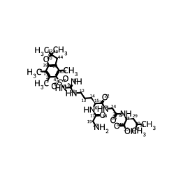 Cc1c(C)c(S(=O)(=O)NC(=N)NCCC[C@H](NC(=O)CN)C(=O)NCC(=O)N[C@@H](CC(C)C)C(=O)O)c(C)c2c1OC(C)(C)C2